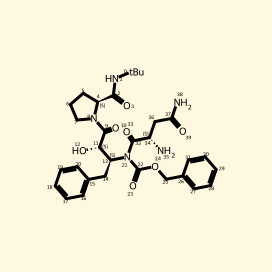 CC(C)(C)NC(=O)[C@@H]1CCCN1C(=O)[C@@H](O)[C@H](Cc1ccccc1)N(C(=O)OCc1ccccc1)C(=O)[C@@H](N)CC(N)=O